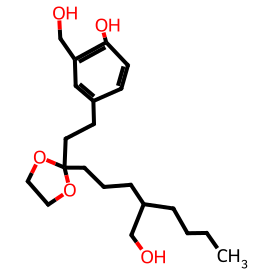 CCCCC(CO)CCCC1(CCc2ccc(O)c(CO)c2)OCCO1